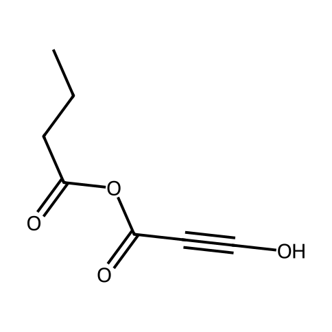 CCCC(=O)OC(=O)C#CO